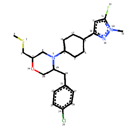 CSCC1CN(C2CCC(c3cc(F)n(C)n3)CC2)C(Cc2ccc(Cl)cc2)CO1